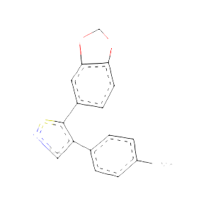 COc1ccc(-c2cnsc2-c2ccc3c(c2)OCO3)cc1